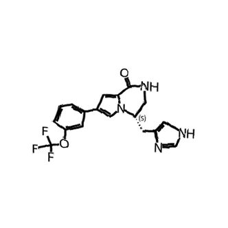 O=C1NC[C@H](Cc2c[nH]cn2)n2cc(-c3cccc(OC(F)(F)F)c3)cc21